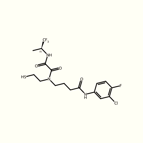 C[C@H](NC(=O)C(=O)N(CCS)CCCC(=O)Nc1ccc(F)c(Cl)c1)C(F)(F)F